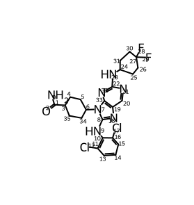 NC(=O)C1CCC(n2c(Nc3c(Cl)cccc3Cl)nc3cnc(NC4CCC(F)(F)CC4)nc32)CC1